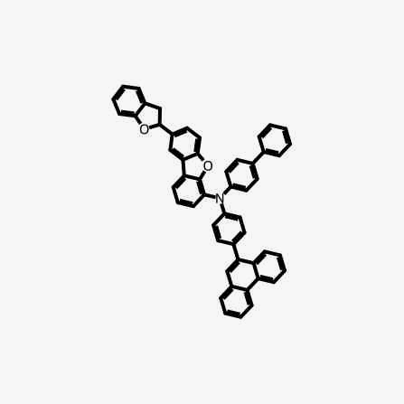 c1ccc(-c2ccc(N(c3ccc(-c4cc5ccccc5c5ccccc45)cc3)c3cccc4c3oc3ccc(C5Cc6ccccc6O5)cc34)cc2)cc1